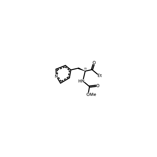 CCC(=O)[C@H](Cc1ccncc1)NC(=O)OC